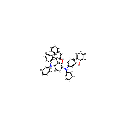 c1ccc(N(c2ccc3c(c2)oc2ccccc23)c2ccc(N(c3ccccc3)c3ccccc3)c3c2oc2cc4ccccc4cc23)cc1